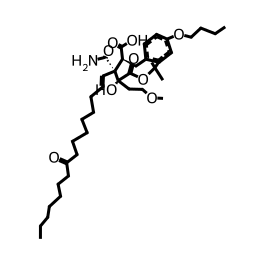 CCCCCCCC(=O)CCCCCC/C=C/[C@@](C(N)=O)([C@H](Cc1ccc(OCCCC)cc1)C(=O)O)[C@@](O)(CCOC)C(=O)OC(C)(C)C